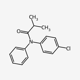 CC(C)C(=O)N(c1ccccc1)c1ccc(Cl)cc1